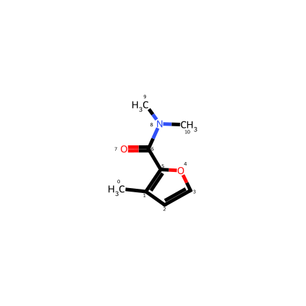 Cc1ccoc1C(=O)N(C)C